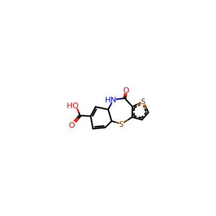 O=C(O)C1=CC2NC(=O)c3sccc3SC2C=C1